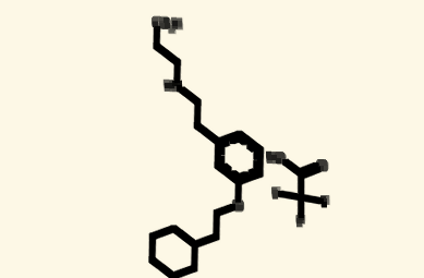 O=C(O)C(F)(F)F.O=C(O)CCNCCc1cccc(OCCC2CCCCC2)c1